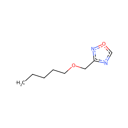 [CH2]CCCCOCc1ncon1